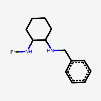 CC(C)NC1CCCCC1NCc1ccccc1